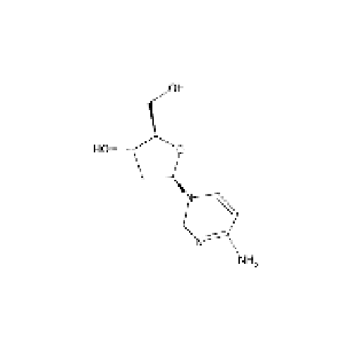 NC1=NCN([C@H]2C[C@H](O)[C@@H](CO)O2)C=C1